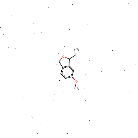 CCC1OCc2ccc(OC)cc21